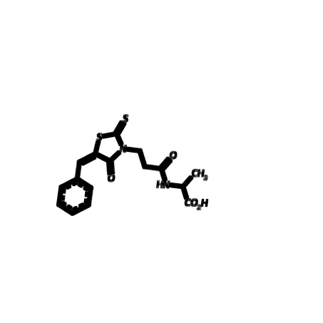 CC(NC(=O)CCN1C(=O)/C(=C\c2ccccc2)SC1=S)C(=O)O